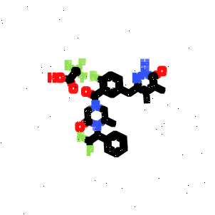 Cc1c(Cc2ccc(F)c(C(=O)N3CC(=O)N(C(c4ccccc4)C(F)F)C(C)C3)c2)n[nH]c(=O)c1C.O=C(O)C(F)(F)F